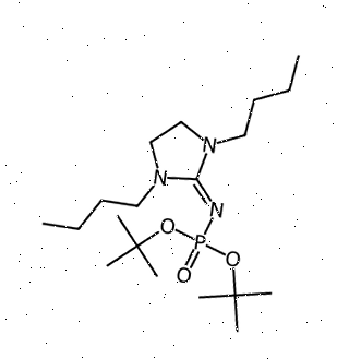 CCCCN1CCN(CCCC)C1=NP(=O)(OC(C)(C)C)OC(C)(C)C